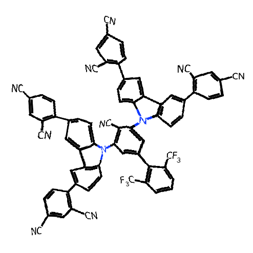 N#Cc1ccc(-c2ccc3c(c2)c2cc(-c4ccc(C#N)cc4C#N)ccc2n3-c2cc(-c3c(C(F)(F)F)cccc3C(F)(F)F)cc(-n3c4ccc(-c5ccc(C#N)cc5C#N)cc4c4cc(-c5ccc(C#N)cc5C#N)ccc43)c2C#N)c(C#N)c1